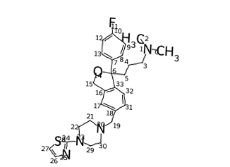 CN(C)CCCC1(c2ccc(F)cc2)OCc2cc(CN3CCN(c4nccs4)CC3)ccc21